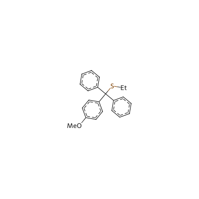 CCSC(c1ccccc1)(c1ccccc1)c1ccc(OC)cc1